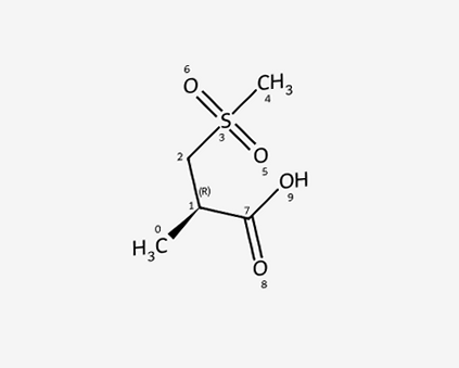 C[C@@H](CS(C)(=O)=O)C(=O)O